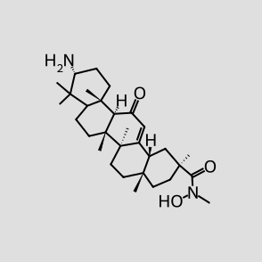 CN(O)C(=O)[C@@]1(C)CC[C@]2(C)CC[C@]3(C)C(=CC(=O)[C@@H]4[C@@]5(C)CC[C@@H](N)C(C)(C)C5CC[C@]43C)[C@@H]2C1